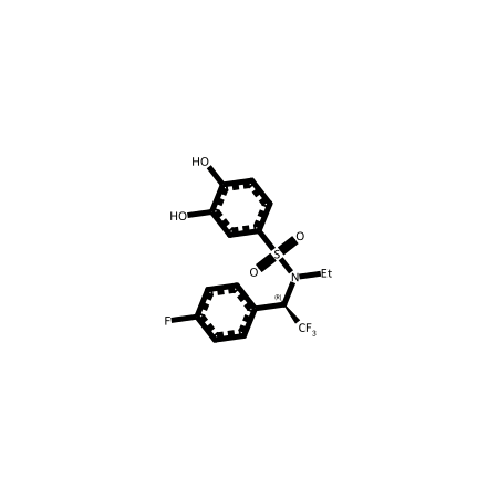 CCN([C@H](c1ccc(F)cc1)C(F)(F)F)S(=O)(=O)c1ccc(O)c(O)c1